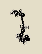 COc1cc(N2CCC(NC(=O)CCCCCSc3cccc4c3CN(C3CCC(=O)NC3=O)C4=O)CC2)ccc1Nc1ncc(Cl)c(Nc2ccccc2P(C)C)n1